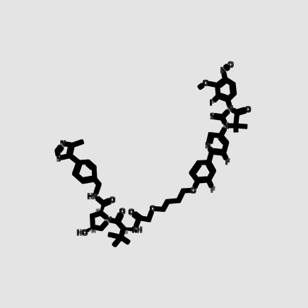 COc1c(N=O)ccc(N2C(=O)C(C)(C)N(c3cnc(-c4ccc(OCCCCOCC(=O)N[C@H](C(=O)N5C[C@H](O)C[C@H]5C(=O)NCc5ccc(-c6scnc6C)cc5)C(C)(C)C)c(F)c4)c(F)c3)C2=S)c1F